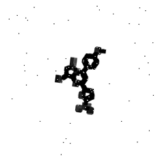 COc1ccc(C2=CC(c3ccc([N+](=O)[O-])o3)=NC3C(Br)CNN23)cc1